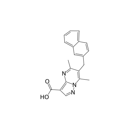 Cc1nc2c(C(=O)O)cnn2c(C)c1Cc1ccc2ccccc2c1